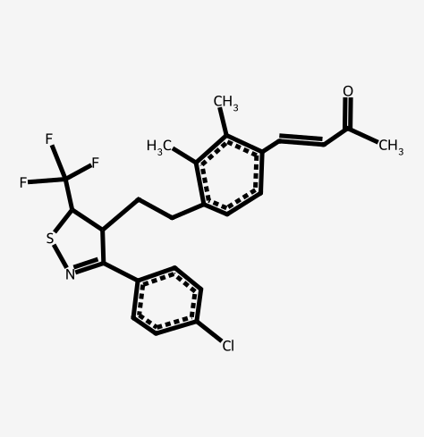 CC(=O)/C=C/c1ccc(CCC2C(c3ccc(Cl)cc3)=NSC2C(F)(F)F)c(C)c1C